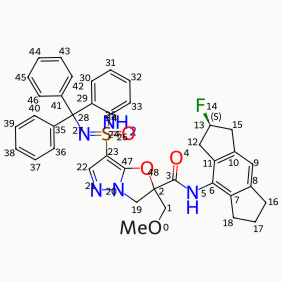 COCC1(C(=O)Nc2c3c(cc4c2C[C@@H](F)C4)CCC3)Cn2ncc(S(N)(=O)=NC(c3ccccc3)(c3ccccc3)c3ccccc3)c2O1